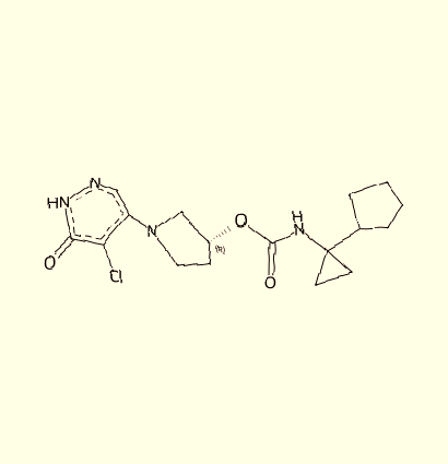 O=C(NC1(C2CCCC2)CC1)O[C@@H]1CCN(c2cn[nH]c(=O)c2Cl)C1